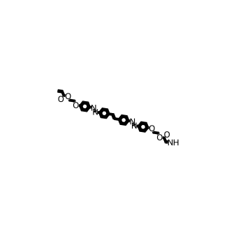 C=CC(=O)OCCOc1ccc(/N=N/c2ccc(/C=C/c3ccc(/N=N/c4ccc(OCCOC(=O)C=N)cc4)cc3)cc2)cc1